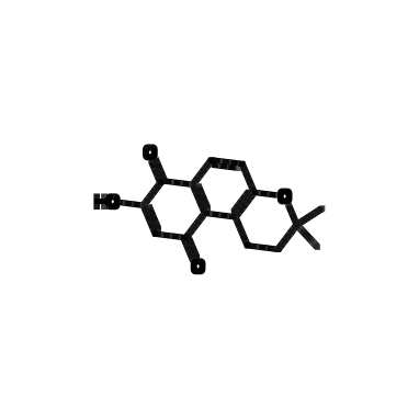 CC1(C)CCc2c(ccc3c2C(=O)C=C(O)C3=O)O1